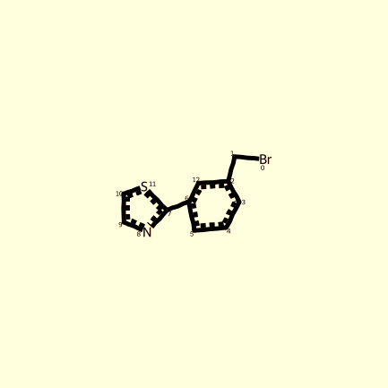 BrCc1cccc(-c2nccs2)c1